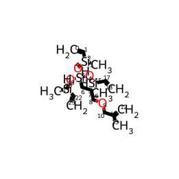 C=C[SiH](C)O[Si](CCCOCC(=C)C)(O[SiH](C)C=C)O[SiH](C)C=C